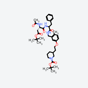 CC(=O)N[C@@H](CC(=O)OC(C)(C)C)C(=O)NC(Cc1ccccc1)C(=O)NCc1cc(OCCC2CCCN(C(=O)OC(C)(C)C)C2)ccc1C